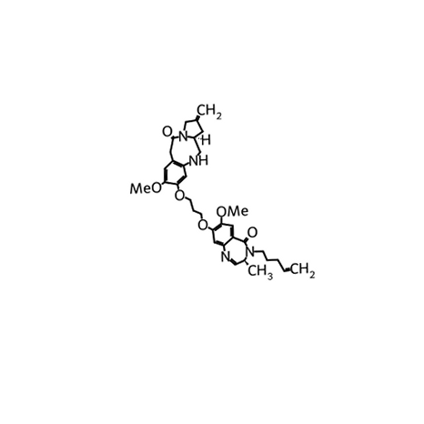 C=CCCCN1C(=O)c2cc(OC)c(OCCCOc3cc4c(cc3OC)CC(=O)N3CC(=C)C[C@H]3CN4)cc2N=C[C@@H]1C